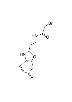 O=C1C=CC2=C(C1)OC(CCNC(=O)CBr)N2